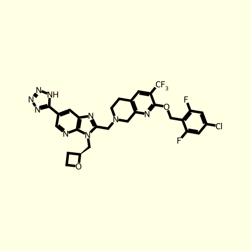 Fc1cc(Cl)cc(F)c1COc1nc2c(cc1C(F)(F)F)CCN(Cc1nc3cc(-c4nnn[nH]4)cnc3n1C[C@@H]1CCO1)C2